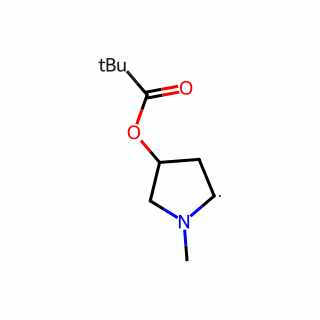 CN1[CH]CC(OC(=O)C(C)(C)C)C1